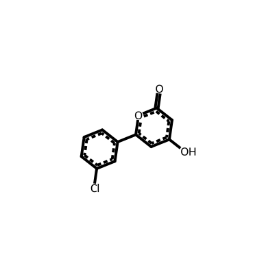 O=c1cc(O)cc(-c2cccc(Cl)c2)o1